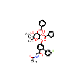 CO[C@@H]1[C@@H](OC(=O)c2ccccc2)[C@@H](OC(=O)c2ccccc2)[C@H](Oc2ccc(C(=O)CNC(C)=O)c(-c3cccc(F)c3)c2)OC1(C)C